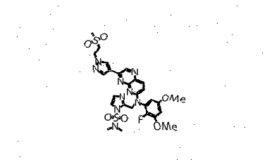 COc1cc(OC)c(F)c(N(Cc2nccn2S(=O)(=O)N(C)C)c2ccc3ncc(-c4cnn(CCS(C)(=O)=O)c4)nc3n2)c1